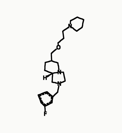 Fc1cccc(CN2CCN3CC(COCCCN4CCCCC4)CC[C@H]3C2)c1